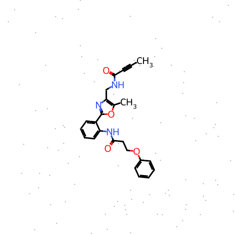 CC#CC(=O)NCc1nc(-c2ccccc2NC(=O)CCOc2ccccc2)oc1C